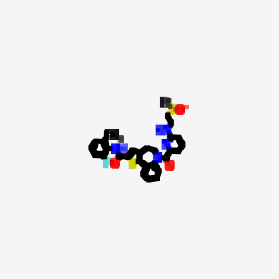 CC[S+]([O-])CCNc1cccc(C(=O)N2CCc3cc(C(=O)Nc4c(C)cccc4F)sc3-c3ccccc32)n1